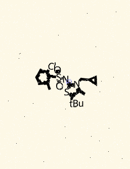 Cc1cccc(Cl)c1S(=O)(=O)/N=c1\sc(C(C)(C)C)c(C)n1CC1CC1